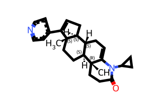 C[C@]12CCC(=O)N(C3CC3)C1=CC[C@@H]1[C@@H]2CC[C@]2(C)C(c3ccncc3)=CC[C@@H]12